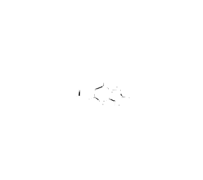 CC(=O)Oc1cc(O)n2nc(C)nc2n1